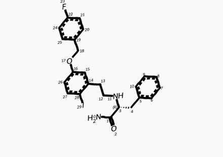 NC(=O)[C@@H](Cc1ccccc1)NCCc1cc(OCc2ccc(F)cc2)ccc1I